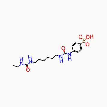 CCNC(=O)NCCCCCCNC(=O)Nc1ccc(S(=O)(=O)O)cc1